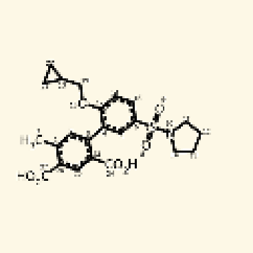 Cc1cc(-c2cc(S(=O)(=O)N3CCCC3)ccc2OCC2CC2)c(C(=O)O)cc1C(=O)O